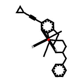 CN1C(=O)C2(NC1=S)c1cc(C#CC3CC3)ccc1CC21CCC(Cc2ccccc2)CC1